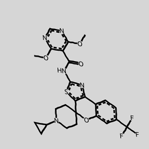 COc1ncnc(OC)c1C(=O)Nc1nc2c(s1)C1(CCN(C3CC3)CC1)Oc1cc(C(F)(F)F)ccc1-2